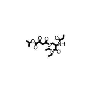 CCC(=O)NC(CSC(=O)CC(=O)C(=O)OC(C)C)C(=O)N(CC)CC